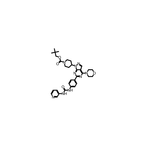 CC(C)(C)COC(=O)N1CCC(n2ncc3c(N4CCOCC4)nc(-c4ccc(NC(=O)Nc5cccnc5)cc4)nc32)CC1